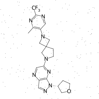 Cc1nc(C(F)(F)F)ncc1N1CC2(CCN(c3cnc4cnn([C@@H]5CCOC5)c4n3)C2)C1